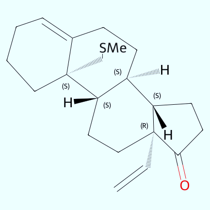 C=C[C@]12CC[C@H]3[C@@H](CCC4=CCCC[C@@]43CSC)[C@@H]1CCC2=O